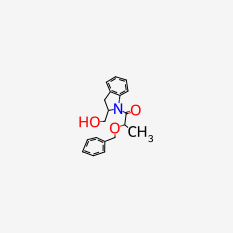 CC(OCc1ccccc1)C(=O)N1c2ccccc2CC1CO